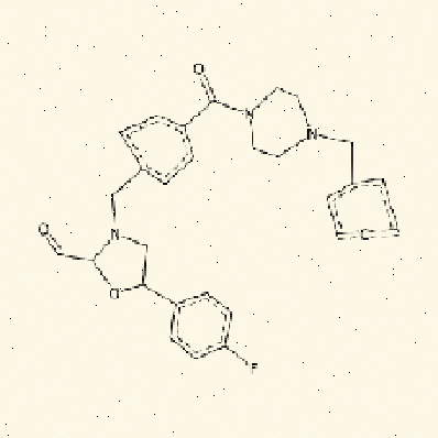 O=CC1OC(c2ccc(F)cc2)CN1Cc1ccc(C(=O)N2CCN(Cc3ccccc3)CC2)cc1